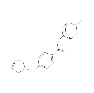 CC1CC2CCN1CC2NC(=O)c1ccc(ON2CC=CS2)cc1